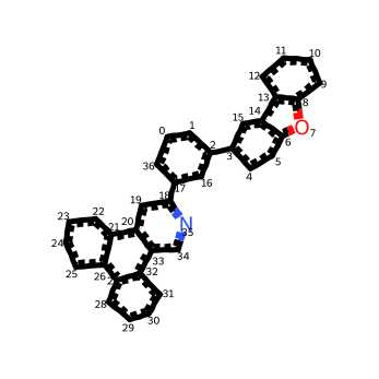 c1cc(-c2ccc3oc4ccccc4c3c2)cc(-c2cc3c4ccccc4c4ccccc4c3cn2)c1